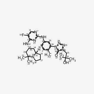 Cc1ccc(Nc2ncc(F)c(N[C@@H]3C[C@@H]4CCCN4C(C)(C)C3)n2)cc1-n1nnn(CC(C)(C)O)c1=O